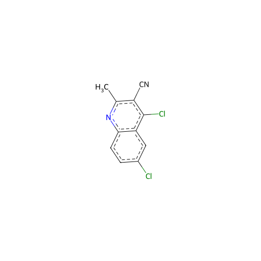 Cc1nc2ccc(Cl)cc2c(Cl)c1C#N